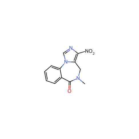 CN1Cc2c([N+](=O)[O-])ncn2-c2ccccc2C1=O